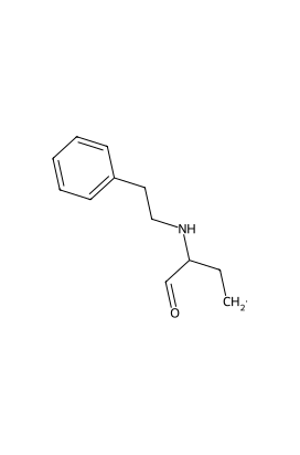 [CH2]CC(C=O)NCCc1ccccc1